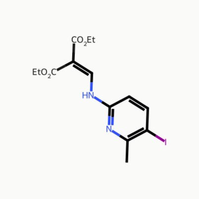 CCOC(=O)C(=CNc1ccc(I)c(C)n1)C(=O)OCC